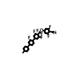 Cc1ccc(-c2ccc(-c3cc(F)c(C(F)(F)Oc4cc(F)c(C#N)c(F)c4)c(F)c3)c(F)c2)cc1